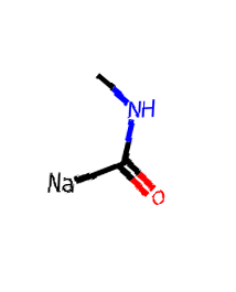 CN[C](=O)[Na]